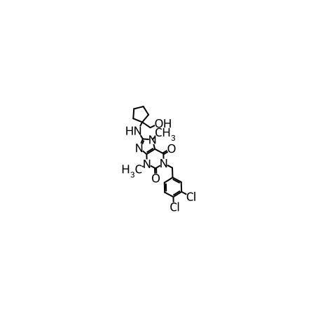 Cn1c(NC2(CO)CCCC2)nc2c1c(=O)n(Cc1ccc(Cl)c(Cl)c1)c(=O)n2C